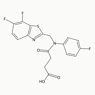 O=C(O)CCC(=O)N(Cc1nc2ccc(F)c(F)c2s1)c1ccc(F)cc1